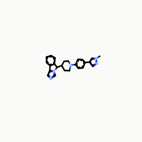 Cn1cc(-c2ccc(N3CCC(C4c5ccccc5-c5cncn54)CC3)cc2)cn1